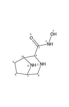 O=C(NO)C1NCC2CCC1N2